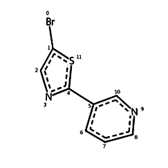 Brc1cnc(-c2cccnc2)s1